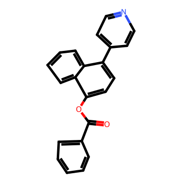 O=C(Oc1ccc(-c2ccncc2)c2ccccc12)c1ccccc1